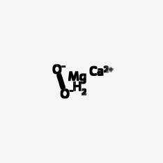 [Ca+2].[MgH2].[O-][O-]